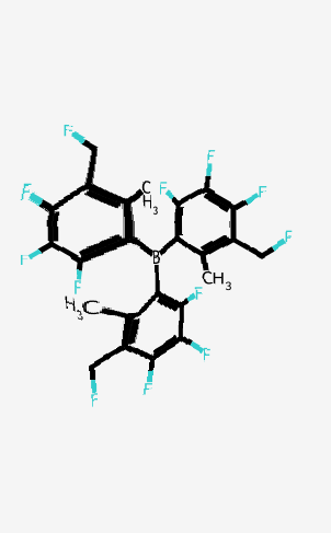 Cc1c(CF)c(F)c(F)c(F)c1B(c1c(C)c(CF)c(F)c(F)c1F)c1c(C)c(CF)c(F)c(F)c1F